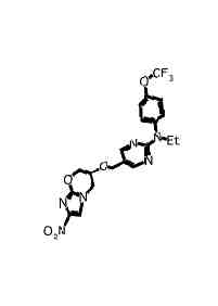 CCN(c1ccc(OC(F)(F)F)cc1)c1ncc(CO[C@@H]2COc3nc([N+](=O)[O-])cn3C2)cn1